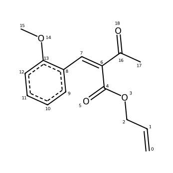 C=CCOC(=O)C(=Cc1ccccc1OC)C(C)=O